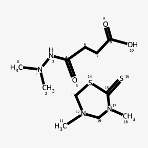 CN(C)NC(=O)CCC(=O)O.CN1CSC(=S)N(C)C1